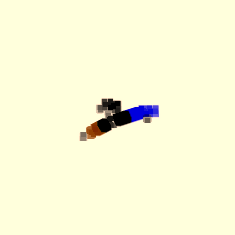 N=C=S.[Hg]